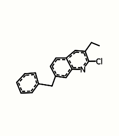 CCc1cc2ccc(Cc3ccccc3)cc2nc1Cl